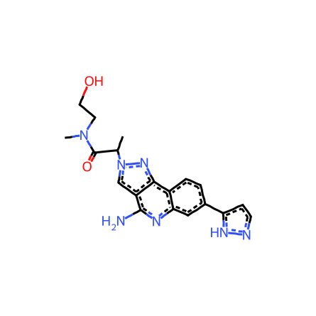 CC(C(=O)N(C)CCO)n1cc2c(N)nc3cc(-c4ccn[nH]4)ccc3c2n1